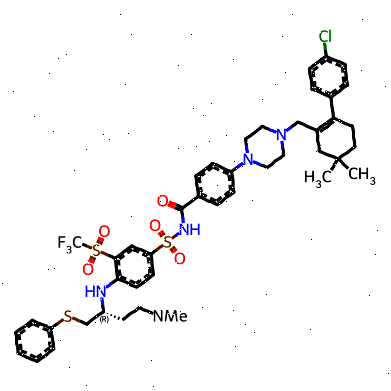 CNCC[C@H](CSc1ccccc1)Nc1ccc(S(=O)(=O)NC(=O)c2ccc(N3CCN(CC4=C(c5ccc(Cl)cc5)CCC(C)(C)C4)CC3)cc2)cc1S(=O)(=O)C(F)(F)F